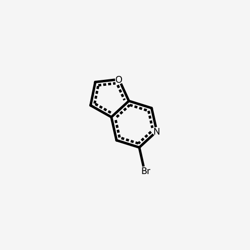 Brc1cc2ccoc2cn1